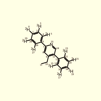 [2H]c1c([2H])c([2H])c(-c2cc(CC)c(-c3c([2H])c([2H])c([2H])c([2H])c3[2H])cn2)c([2H])c1[2H]